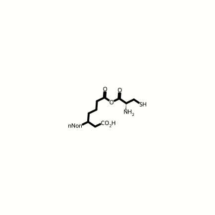 CCCCCCCCCC(CCCC(=O)OC(=O)[C@@H](N)CS)CC(=O)O